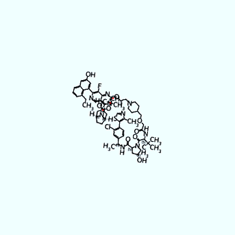 CCc1cccc2cc(O)cc(-c3ncc4c(N5C[C@H]6CC[C@@H](C5)N6C(=O)OC(C)(C)C)nc(OCCN5CCC(COCC(=O)N[C@H](C(=O)N6C[C@H](O)C[C@H]6C(=O)N[C@@H](C)c6ccc(-c7scnc7C)c(Cl)c6)C(C)(C)C)CC5)nc4c3F)c12